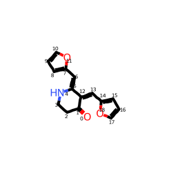 O=C1CCNC(=Cc2ccco2)C1=Cc1ccco1